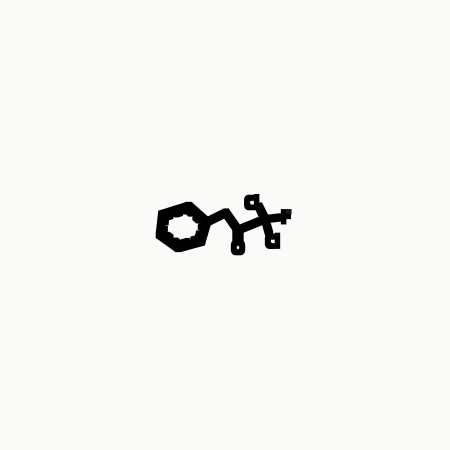 O=C(Cc1ccccc1)C(F)(Cl)Cl